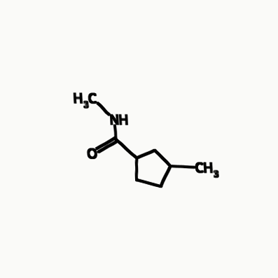 CNC(=O)C1CCC(C)C1